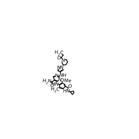 C=CC(=O)N1CCCC(n2cc(Nc3ncc(C(N)=O)c(Nc4c(C)cc(C(=O)NC5CCC5)cc4OC)n3)cn2)C1